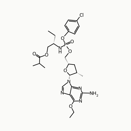 CCOc1nc(N)nc2c1ncn2[C@@H]1O[C@H](COP(=O)(N[C@@H](CC)COC(=O)C(C)C)Oc2ccc(Cl)cc2)C[C@@H]1C